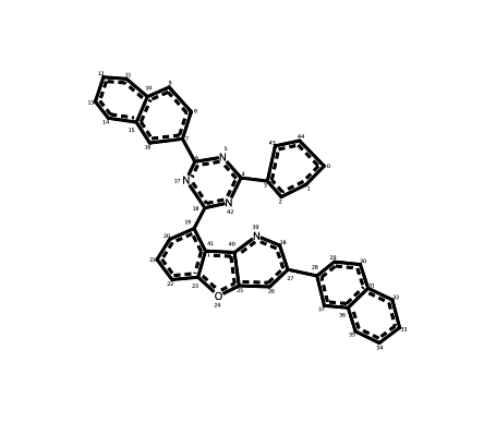 c1ccc(-c2nc(-c3ccc4ccccc4c3)nc(-c3cccc4oc5cc(-c6ccc7ccccc7c6)cnc5c34)n2)cc1